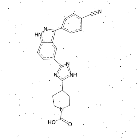 N#Cc1ccc(-c2n[nH]c3ccc(-c4n[nH]c(C5CCN(C(=O)O)CC5)n4)cc23)cc1